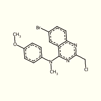 COc1ccc(N(C)c2nc(CCl)nc3ccc(Br)cc23)cc1